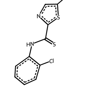 Cc1cnc(C(=S)Nc2ccccc2Cl)s1